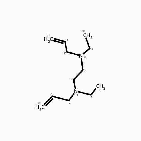 C=CCN(CC)CCN(CC)CC=C